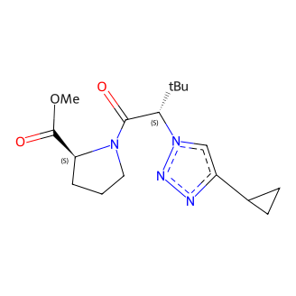 COC(=O)[C@@H]1CCCN1C(=O)[C@@H](n1cc(C2CC2)nn1)C(C)(C)C